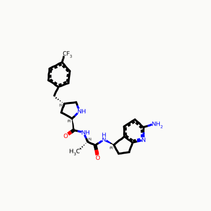 C[C@H](NC(=O)[C@H]1C[C@H](Cc2ccc(C(F)(F)F)cc2)CN1)C(=O)N[C@@H]1CCc2nc(N)ccc21